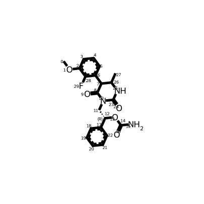 COc1cccc(C2C(=O)N(C[C@H](OC(N)=O)c3ccccc3)C(=O)NC2C)c1F